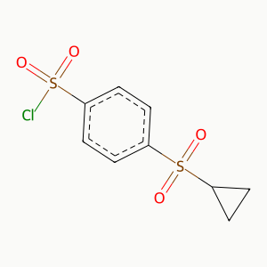 O=S(=O)(Cl)c1ccc(S(=O)(=O)C2CC2)cc1